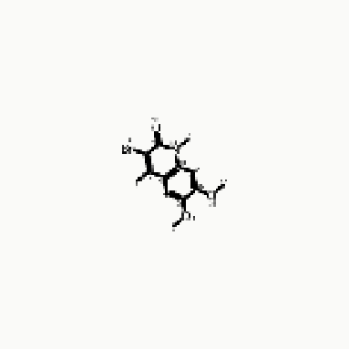 COc1cc2c(C)c(Br)c(=O)n(C)c2cc1OC